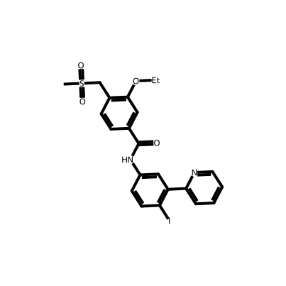 CCOc1cc(C(=O)Nc2ccc(I)c(-c3ccccn3)c2)ccc1CS(C)(=O)=O